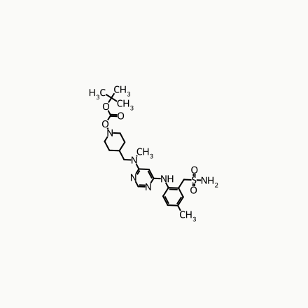 Cc1ccc(Nc2cc(N(C)CC3CCN(OC(=O)OC(C)(C)C)CC3)ncn2)c(CS(N)(=O)=O)c1